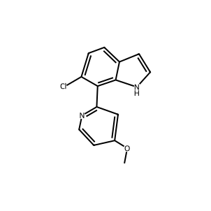 COc1ccnc(-c2c(Cl)ccc3cc[nH]c23)c1